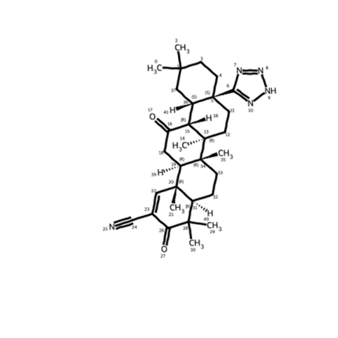 CC1(C)CC[C@]2(c3nn[nH]n3)CC[C@]3(C)[C@H](C(=O)C[C@@H]4[C@@]5(C)C=C(C#N)C(=O)C(C)(C)[C@@H]5CC[C@]43C)[C@@H]2C1